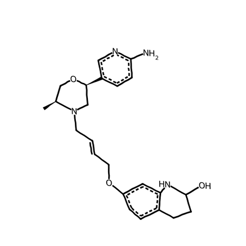 C[C@H]1CO[C@@H](c2ccc(N)nc2)CN1C/C=C/COc1ccc2c(c1)NC(O)CC2